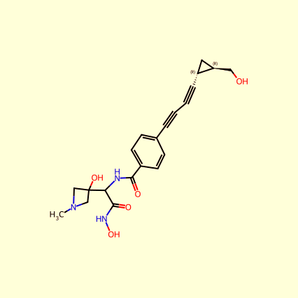 CN1CC(O)(C(NC(=O)c2ccc(C#CC#C[C@@H]3C[C@H]3CO)cc2)C(=O)NO)C1